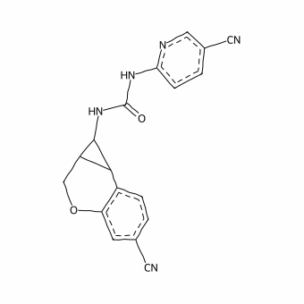 N#Cc1ccc(NC(=O)NC2C3COc4cc(C#N)ccc4C32)nc1